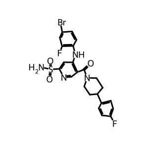 NS(=O)(=O)c1cc(Nc2ccc(Br)cc2F)c(C(=O)N2CCC(c3ccc(F)cc3)CC2)cn1